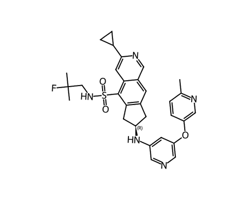 Cc1ccc(Oc2cncc(N[C@@H]3Cc4cc5cnc(C6CC6)cc5c(S(=O)(=O)NCC(C)(C)F)c4C3)c2)cn1